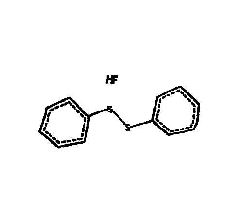 F.c1ccc(SSc2ccccc2)cc1